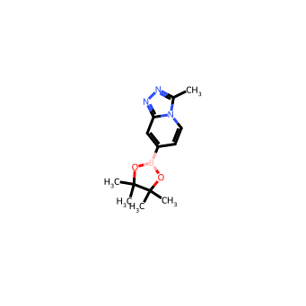 Cc1nnc2cc(B3OC(C)(C)C(C)(C)O3)ccn12